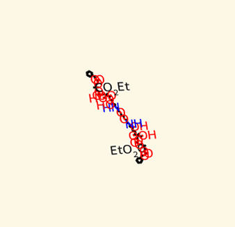 CCOC(=O)C(C)(COC(=O)OCc1ccccc1)COC(=O)OCC(C)(CO)C(=O)CCC(O)CNCCOCCOCCNCC(O)COC(=O)C(C)(CO)COC(=O)OCC(C)(COC(=O)OCc1ccccc1)C(=O)OCC